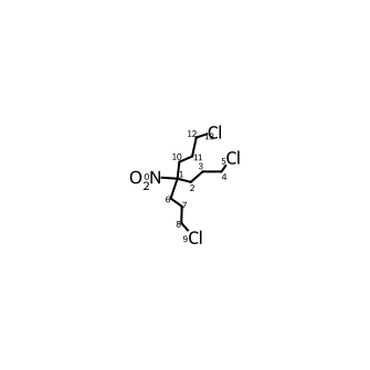 O=[N+]([O-])C(CCCCl)(CCCCl)CCCCl